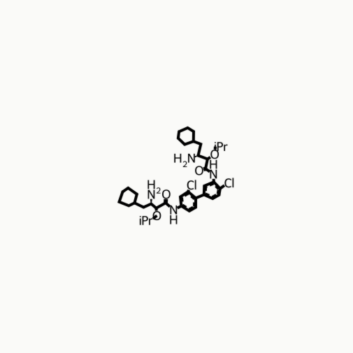 CC(C)OC(C(=O)Nc1ccc(-c2ccc(Cl)c(NC(=O)C(OC(C)C)[C@H](N)CC3CCCCC3)c2)c(Cl)c1)[C@H](N)CC1CCCCC1